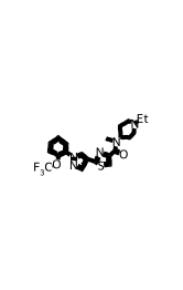 CCN1CCC(N(C)C(=O)c2csc(-c3cnn(-c4ccccc4OC(F)(F)F)c3)n2)CC1